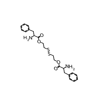 NC(Cc1ccccc1)C(=O)OCCSSCCOC(=O)C(N)Cc1ccccc1